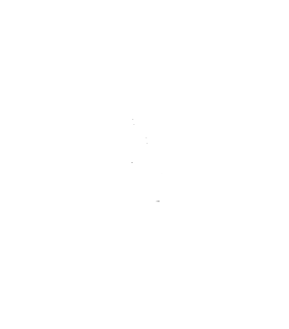 CCCCC1=CC[C@H]2[C@@H]3CCC4=CC(=O)CC[C@@H]4[C@H]3CC[C@]12C